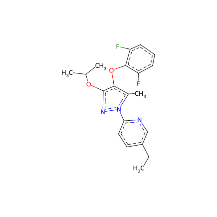 CCc1ccc(-n2nc(OC(C)C)c(Oc3c(F)cccc3F)c2C)nc1